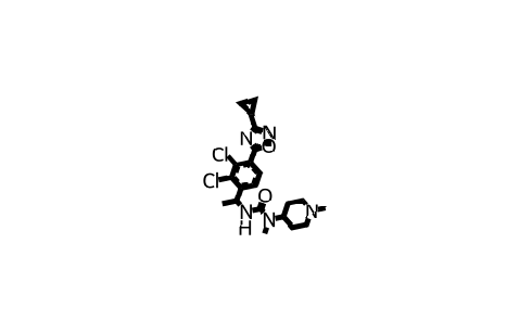 CC(NC(=O)N(C)C1CCN(C)CC1)c1ccc(-c2nc(C3CC3)no2)c(Cl)c1Cl